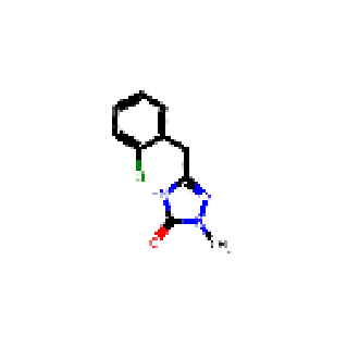 Cn1nc(Cc2ccccc2Cl)[nH]c1=O